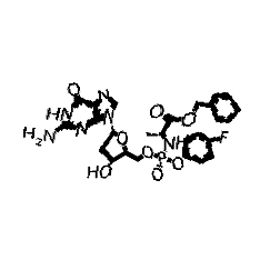 C[C@H](NP(=O)(OCC1O[C@@H](n2cnc3c(=O)[nH]c(N)nc32)C[C@H]1O)Oc1ccc(F)cc1)C(=O)OCc1ccccc1